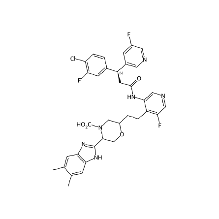 Cc1cc2nc(C3COC(CCc4c(F)cncc4NC(=O)C[C@H](c4cncc(F)c4)c4ccc(Cl)c(F)c4)CN3C(=O)O)[nH]c2cc1C